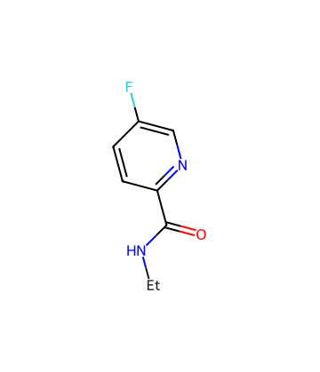 CCNC(=O)c1ccc(F)cn1